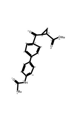 CCCCC(=O)Nc1ccc(-c2ccc(C(=O)C3CC3C(=O)OC)cc2)cc1